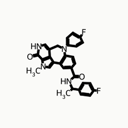 CC(NC(=O)c1ccc2c(c1)-c1cn(C)c3c(=O)[nH]cc(c13)CN2c1ccc(F)cc1)c1ccc(F)cc1